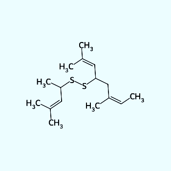 C/C=C(/C)CC(C=C(C)C)SSC(C)C=C(C)C